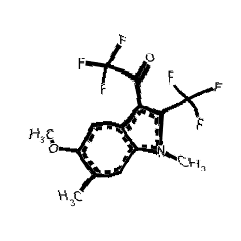 COc1cc2c(C(=O)C(F)(F)F)c(C(F)(F)F)n(C)c2cc1C